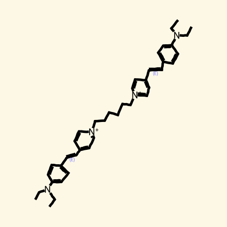 CCN(CC)c1ccc(/C=C/c2cc[n+](CCCCCC[n+]3ccc(/C=C/c4ccc(N(CC)CC)cc4)cc3)cc2)cc1